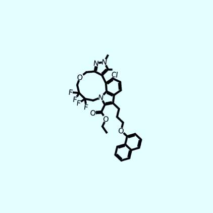 CCOC(=O)c1c(CCCOc2cccc3ccccc23)c2ccc(Cl)c3c2n1CC(F)(F)C(F)(F)COCc1nn(C)c(C)c1-3